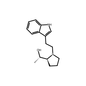 C[C@H](O)[C@@H]1CCCN1CCc1c[nH]c2ccccc12